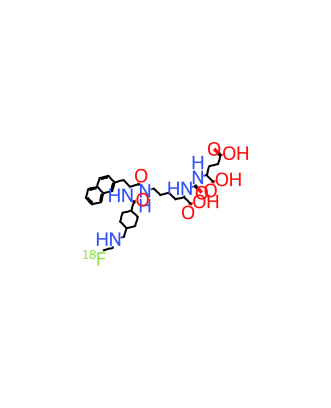 O=C(O)CCC(NC(=O)NC(CCCCNC(=O)C(Cc1ccc2ccccc2c1)NC(=O)C1CCC(CNCC[18F])CC1)C(=O)O)C(=O)O